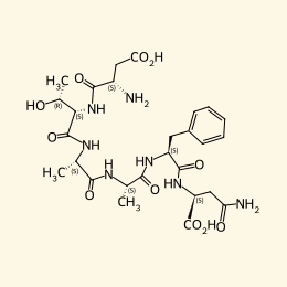 C[C@H](NC(=O)[C@H](C)NC(=O)[C@@H](NC(=O)[C@@H](N)CC(=O)O)[C@@H](C)O)C(=O)N[C@@H](Cc1ccccc1)C(=O)N[C@@H](CC(N)=O)C(=O)O